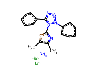 Br.Cc1nc(-[n+]2c(-c3ccccc3)nnn2-c2ccccc2)sc1C.N.[Br-]